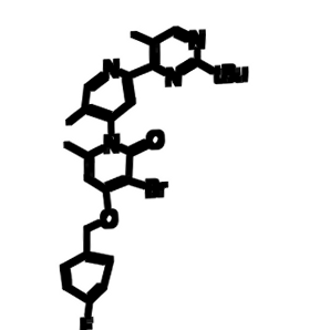 Cc1cnc(-c2nc(C(C)(C)C)ncc2C)cc1-n1c(C)cc(OCc2ccc(F)cc2)c(Br)c1=O